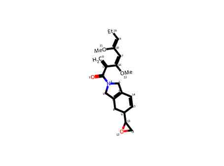 C=C(C(=O)N1CC2=C(CC(C3CO3)C=C2)C1)/C(=C\C(=C\CC)OC)OC